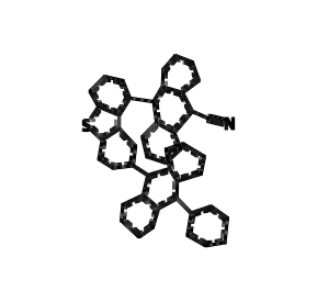 N#Cc1c2ccccc2c(-c2cccc3sc4ccc(-c5c6ccccc6c(-c6ccccc6)c6ccccc56)cc4c23)c2ccccc12